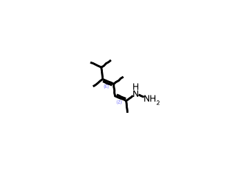 C/C(=C/C(C)=C(\C)C(C)C)NN